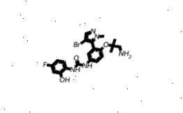 Cn1ncc(Br)c1-c1cc(NC(=O)Nc2ccc(F)cc2O)ccc1OC(C)(C)CN